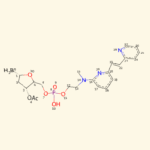 B[C@H]1C[C@@H](OC(C)=O)C(COP(=O)(O)OCCN(C)c2cccc(/C=C/c3ccccn3)n2)O1